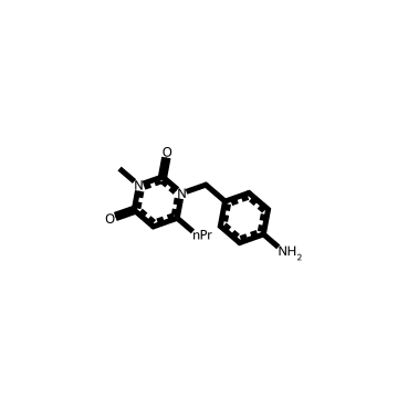 CCCc1cc(=O)n(C)c(=O)n1Cc1ccc(N)cc1